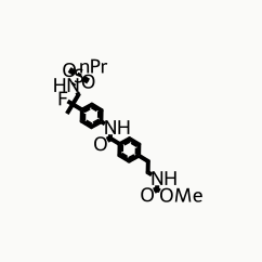 CCCS(=O)(=O)NCC(C)(F)c1ccc(NC(=O)c2ccc(CCNC(=O)OC)cc2)cc1